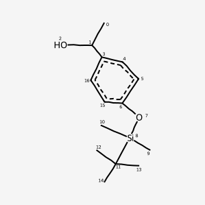 CC(O)c1ccc(O[Si](C)(C)C(C)(C)C)cc1